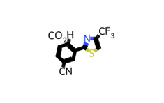 N#Cc1ccc(C(=O)O)c(-c2nc(C(F)(F)F)cs2)c1